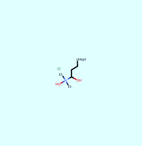 CCCCCCCCCC(O)[N+](O)(CC)CC.[Cl-]